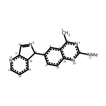 CNc1nc(C)c2cc(C3N=Cc4ncccc43)ccc2n1